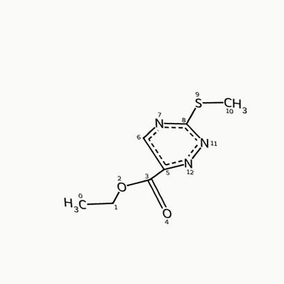 CCOC(=O)c1cnc(SC)nn1